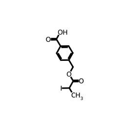 CC(I)C(=O)OCc1ccc(C(=O)O)cc1